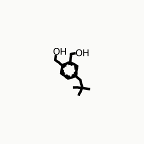 CC(C)(C)Cc1ccc(CO)c(CO)c1